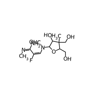 C/N=C(N)\C(F)=C/N(C=O)C1OC(CO)C(C)(CO)C1O